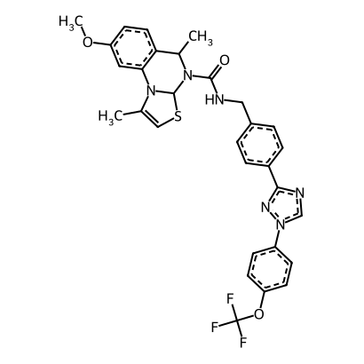 COc1ccc2c(c1)N1C(C)=CSC1N(C(=O)NCc1ccc(-c3ncn(-c4ccc(OC(F)(F)F)cc4)n3)cc1)C2C